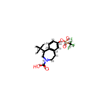 CC(C)(C)C1CN(C(=O)O)CCc2cc(OS(=O)(=O)C(F)(F)F)ccc21